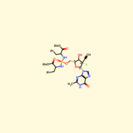 C#C[C@]1(F)C(O)[C@@H](COP(=O)(NC(CC(C)C)C(=O)OC)NC(CC(C)C)C(=O)OC)O[C@H]1n1cnc2c(=O)[nH]c(C)nc21